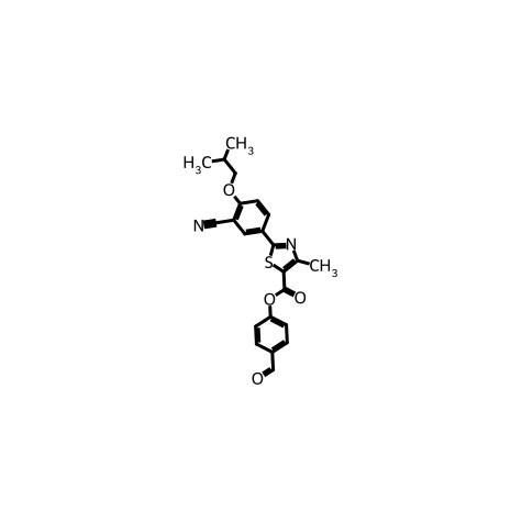 Cc1nc(-c2ccc(OCC(C)C)c(C#N)c2)sc1C(=O)Oc1ccc(C=O)cc1